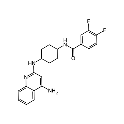 Nc1cc(NC2CCC(NC(=O)c3ccc(F)c(F)c3)CC2)nc2ccccc12